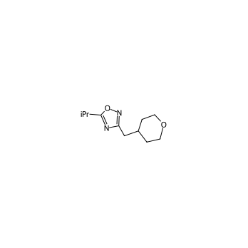 CC(C)c1nc(CC2CCOCC2)no1